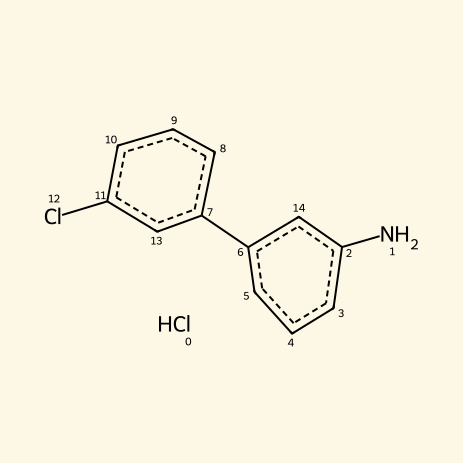 Cl.Nc1cccc(-c2cccc(Cl)c2)c1